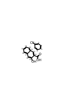 Clc1ccccc1.O=C(O)c1cc2ccccc2cc1O